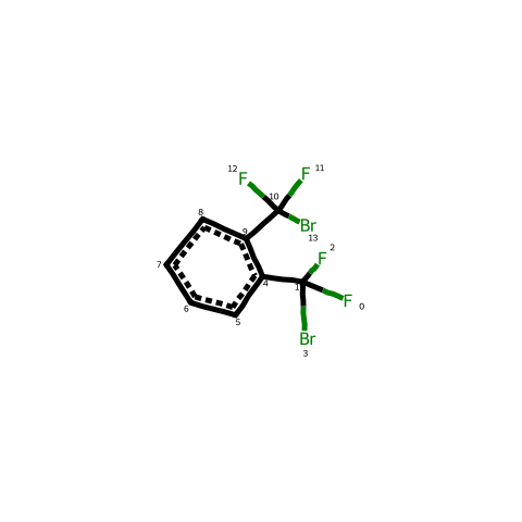 FC(F)(Br)c1ccccc1C(F)(F)Br